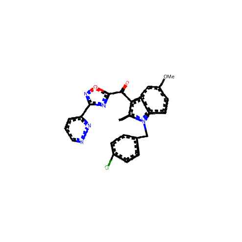 COc1ccc2c(c1)c(C(=O)c1nc(-c3cccnn3)no1)c(C)n2Cc1ccc(Cl)cc1